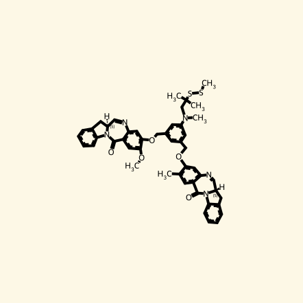 COc1cc2c(cc1OCc1cc(COc3cc4c(cc3C)C(=O)N3c5ccccc5C[C@H]3C=N4)cc(N(C)CC(C)(C)SSC)c1)N=C[C@@H]1Cc3ccccc3N1C2=O